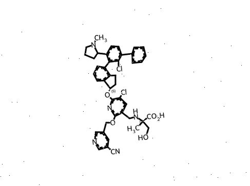 CN1CCCC1c1ccc(-c2ccccc2)c(Cl)c1-c1cccc2c1CC[C@@H]2Oc1nc(OCc2cncc(C#N)c2)c(CN[C@@](C)(CO)C(=O)O)cc1Cl